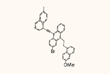 COc1ccc2c(CCc3c4ccccc4c(C#Cc4cccc5cc(C)ccc45)c4ccc(Br)cc34)cccc2c1